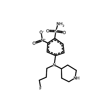 NS(=O)(=O)c1ccc(N(CCCF)C2CCNCC2)cc1[N+](=O)[O-]